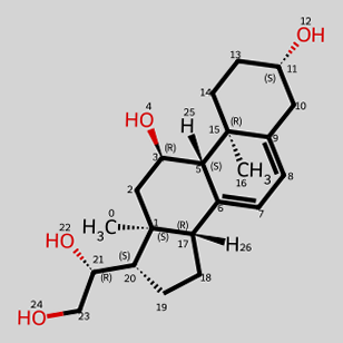 C[C@]12C[C@@H](O)[C@H]3C(=CC=C4C[C@@H](O)CC[C@@]43C)[C@@H]1CC[C@@H]2[C@@H](O)CO